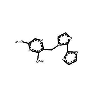 COc1cnc(Cn2ccnc2-c2nccs2)c(OC)n1